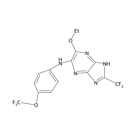 CCOc1nc2[nH]c(C(F)(F)F)nc2nc1Nc1ccc(OC(F)(F)F)cc1